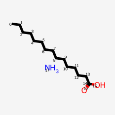 CCCCCCCCCCCCCCC(=O)O.N